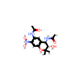 CC(=O)Nc1cc2c(cc1[N+](=O)[O-])OC(C)(C)[C@@H](O)[C@@H]2NC(C)=O